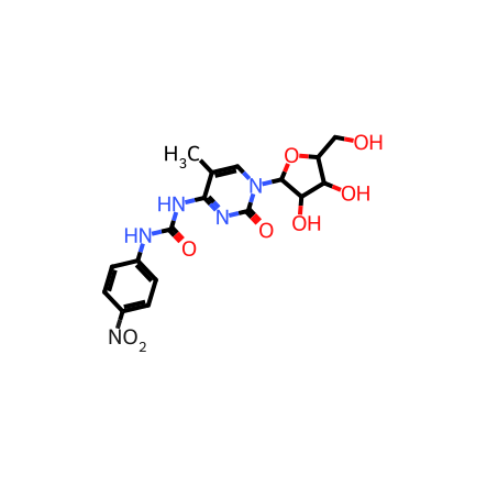 Cc1cn(C2OC(CO)C(O)C2O)c(=O)nc1NC(=O)Nc1ccc([N+](=O)[O-])cc1